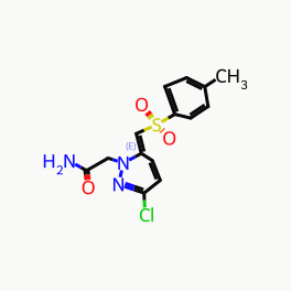 Cc1ccc(S(=O)(=O)/C=C2\C=CC(Cl)=NN2CC(N)=O)cc1